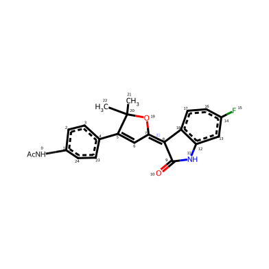 CC(=O)Nc1ccc(C2=C/C(=C3\C(=O)Nc4cc(F)ccc43)OC2(C)C)cc1